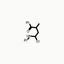 CCC(CC(C)C(=O)C(C)C)NC(C)C